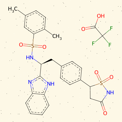 Cc1ccc(C)c(S(=O)(=O)N[C@@H](Cc2ccc(C3CC(=O)NS3(=O)=O)cc2)c2nc3ccccc3[nH]2)c1.O=C(O)C(F)(F)F